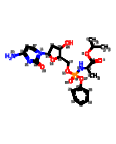 CC(C)OC(=O)[C@@H](C)NP(=O)(OC[C@H]1O[C@@H](n2ccc(N)nc2=O)C[C@H]1O)Oc1ccccc1